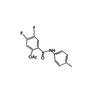 CC(=O)Oc1cc(F)c(F)cc1C(=O)Nc1ccc(C)cc1